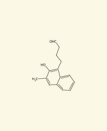 Cc1cc2ccccc2c(CCCC=O)c1O